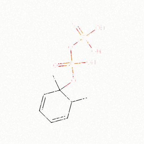 CC1C=CC=CC1(C)OP(=O)(O)OP(=O)(O)O